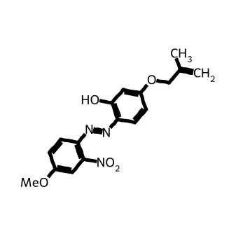 C=C(C)COc1ccc(N=Nc2ccc(OC)cc2[N+](=O)[O-])c(O)c1